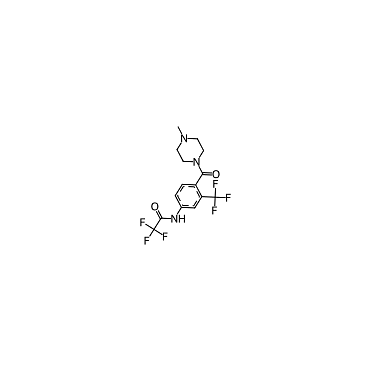 CN1CCN(C(=O)c2ccc(NC(=O)C(F)(F)F)cc2C(F)(F)F)CC1